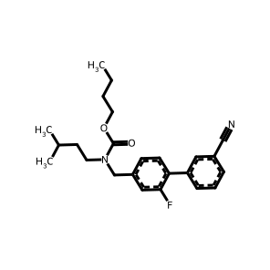 CCCCOC(=O)N(CCC(C)C)Cc1ccc(-c2cccc(C#N)c2)c(F)c1